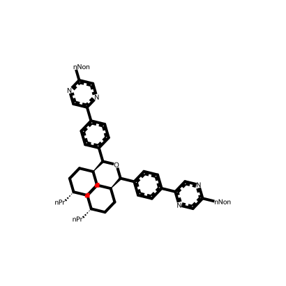 CCCCCCCCCc1cnc(-c2ccc(C(OC(c3ccc(-c4cnc(CCCCCCCCC)cn4)cc3)[C@H]3CC[C@H](CCC)CC3)[C@H]3CC[C@H](CCC)CC3)cc2)cn1